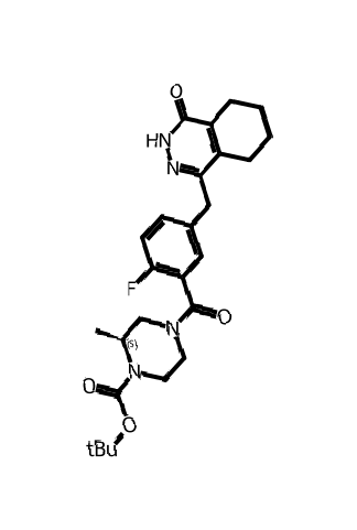 C[C@H]1CN(C(=O)c2cc(Cc3n[nH]c(=O)c4c3CCCC4)ccc2F)CCN1C(=O)OC(C)(C)C